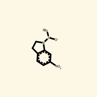 CC(C)(C)[S+]([O-])N1CCc2ccc([N+](=O)[O-])cc21